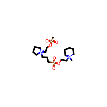 C[N+]1(CCOS(=O)(=O)CCC[N+]2(CCOS(C)(=O)=O)CCCC2)CCCCC1